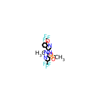 CCS(=O)(=O)c1cc(C(F)(F)F)cnc1-c1nc2cnc3c(OC(F)(F)F)cccc3c2n1C